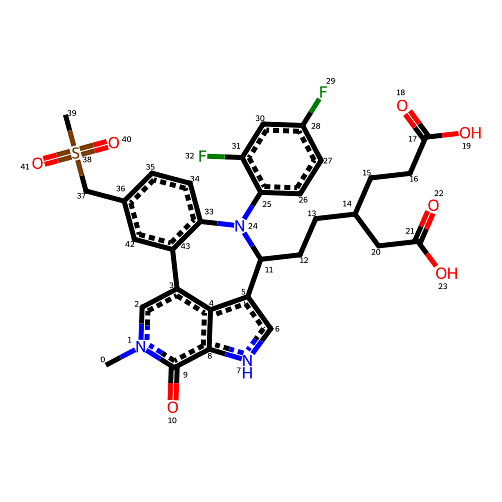 Cn1cc2c3c(c[nH]c3c1=O)C(CCC(CCC(=O)O)CC(=O)O)N(c1ccc(F)cc1F)c1ccc(CS(C)(=O)=O)cc1-2